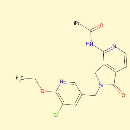 CC(C)C(=O)Nc1nccc2c1CN(Cc1cnc(OCC(F)(F)F)c(Cl)c1)C2=O